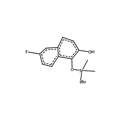 CC(C)(C)[Si](C)(C)Oc1c(O)ccc2cc(F)ccc12